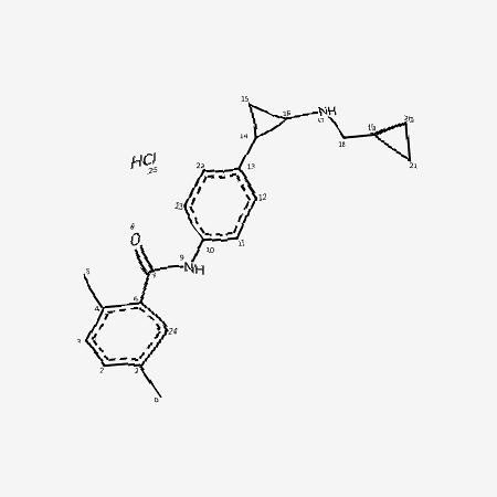 Cc1ccc(C)c(C(=O)Nc2ccc(C3CC3NCC3CC3)cc2)c1.Cl